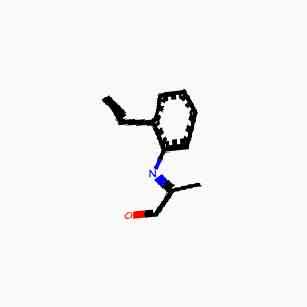 C=Cc1ccccc1/N=C(\C)C=O